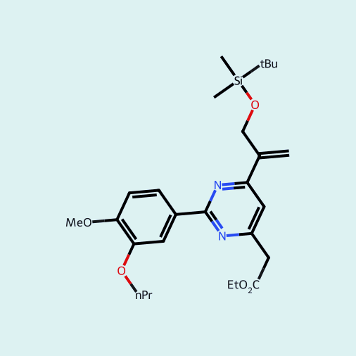 C=C(CO[Si](C)(C)C(C)(C)C)c1cc(CC(=O)OCC)nc(-c2ccc(OC)c(OCCC)c2)n1